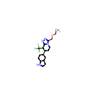 CCOCc1nnc2c(C(F)(F)F)c(-c3ccc4[nH]ccc4c3)ccn12